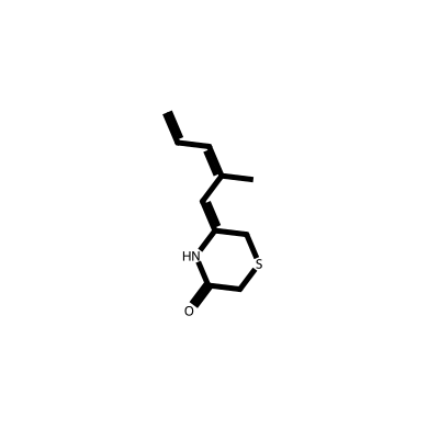 C=C/C=C(C)\C=C1/CSCC(=O)N1